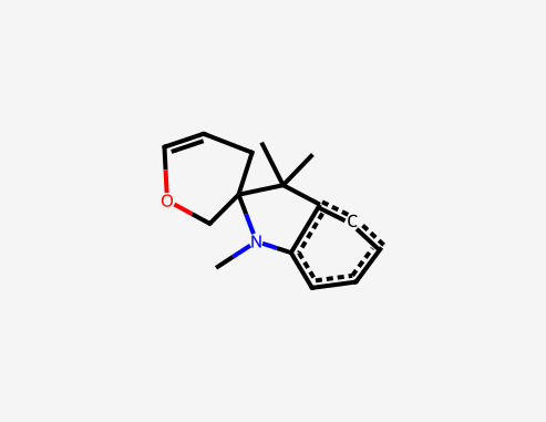 CN1c2ccccc2C(C)(C)C12CC=COC2